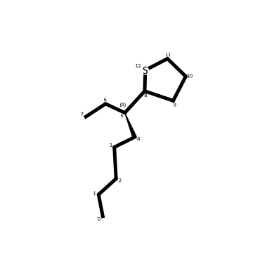 CCCCC[C@@H](CC)C1CCCS1